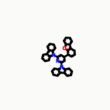 c1ccc2c(c1)oc1c(-c3cc(-n4c5ccccc5c5ccccc54)nc(-n4c5ccccc5c5ccccc54)c3)cccc12